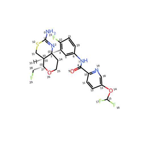 NC1=N[C@@]2(c3cc(NC(=O)c4ccc(OC(F)F)cn4)ccc3F)CCO[C@H](CF)[C@H]2CS1